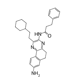 Nc1ccc2c(c1)CCc1nc(NC(=O)CCc3ccccc3)c(CCC3CCCCC3)nc1-2